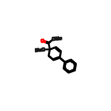 COC(=O)C1(OC)C=CC(c2ccccc2)=CC1